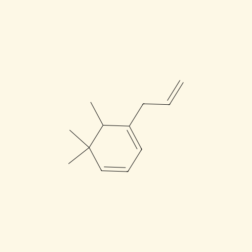 C=CCC1=CC=CC(C)(C)C1C